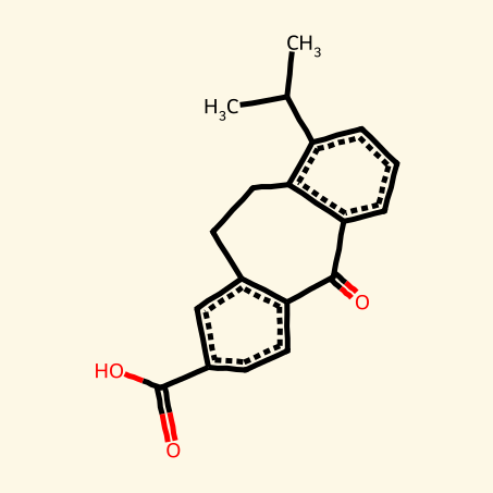 CC(C)c1cccc2c1CCc1cc(C(=O)O)ccc1C2=O